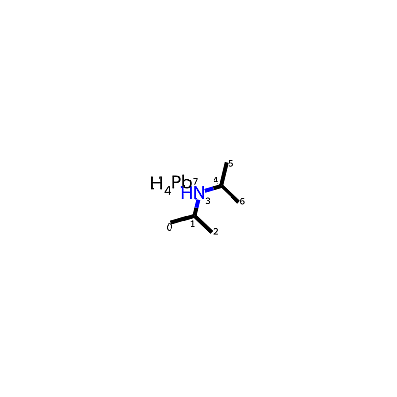 CC(C)NC(C)C.[PbH4]